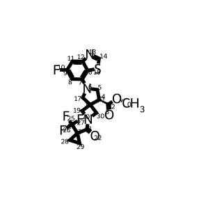 COC(=O)[C@@H]1CN(c2cc(F)cc3ncsc23)CC12CN(C(=O)C1(C(F)(F)F)CC1)C2